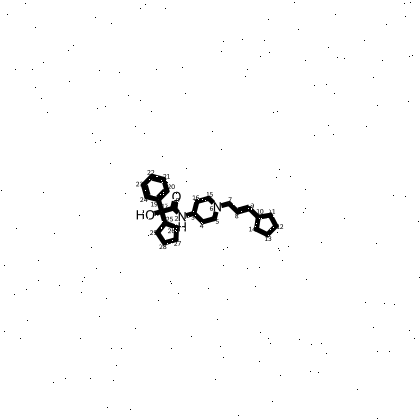 O=C(NC1CCN(CC=CC2CCCC2)CC1)C(O)(c1ccccc1)C1CCCC1